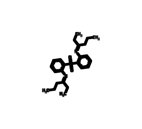 CCCC(CC)=Nc1ccccc1S(=O)(=O)c1ccccc1N=C(CC)CCC